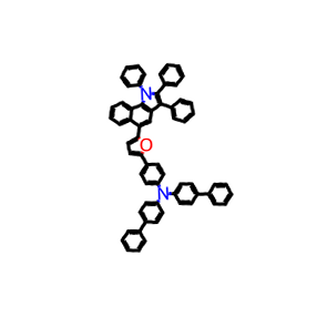 c1ccc(-c2ccc(N(c3ccc(-c4ccccc4)cc3)c3ccc(-c4ccc(-c5cc6c(-c7ccccc7)c(-c7ccccc7)n(-c7ccccc7)c6c6ccccc56)o4)cc3)cc2)cc1